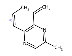 C=Cc1nc(C)cnc1/C=C\C